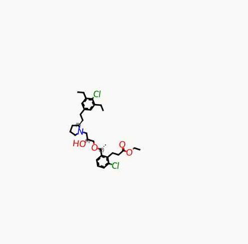 CCOC(=O)CCc1c(Cl)cccc1[C@@H](C)OC[C@H](O)CN1CCC[C@H]1CCc1cc(CC)c(Cl)c(CC)c1